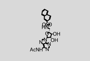 CC(=O)Nc1ncnc2c1ncn2[C@@H]1O[C@H](CNS(=O)(=O)c2ccc3ccccc3c2)[C@@H](O)[C@H]1O